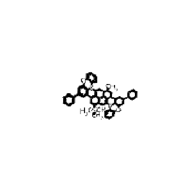 Cc1cc2c3c(cc4c([Si](C)(C)C)cc5c6c(cc1c3c46)B1c3ccccc3Oc3cc(-c4ccccc4)cc-5c31)B1c3ccccc3Oc3cc(-c4ccccc4)cc-2c31